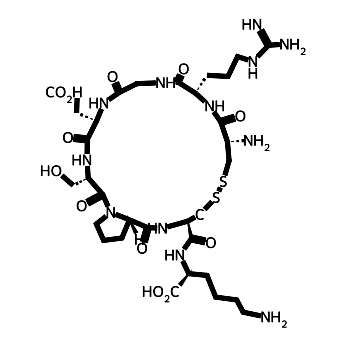 N=C(N)NCCC[C@@H]1NC(=O)[C@H](N)CSSC[C@@H](C(=O)N[C@@H](CCCCN)C(=O)O)NC(=O)[C@@H]2CCCN2C(=O)[C@H](CO)NC(=O)[C@H](CC(=O)O)NC(=O)CNC1=O